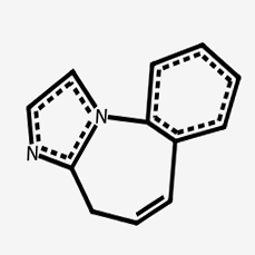 C1=Cc2ccccc2-n2ccnc2C1